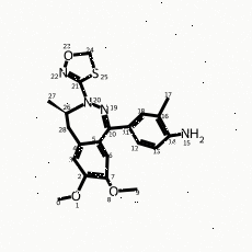 COc1cc2c(cc1OC)C(c1ccc(N)c(C)c1)=NN(C1=NOCS1)[C@H](C)C2